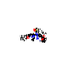 BC(B)(B)Oc1ccc2cc(-c3nc4cc(C(=O)N5C[C@H]6CC[C@@H]5[C@@H]6N)cc(OC)c4n3CC[S@@+](C)[O-])n(CC3CC3)c2n1